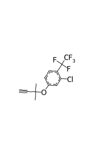 C#CC(C)(C)Oc1ccc(C(F)(F)C(F)(F)F)c(Cl)c1